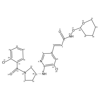 O=C(C=Cc1cnc(N[C@@H]2CCN(C(=O)c3ccccc3Cl)C2)c(Cl)c1)NOC1CCCCO1